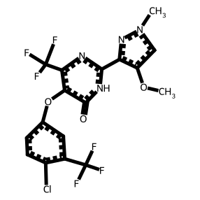 COc1cn(C)nc1-c1nc(C(F)(F)F)c(Oc2ccc(Cl)c(C(F)(F)F)c2)c(=O)[nH]1